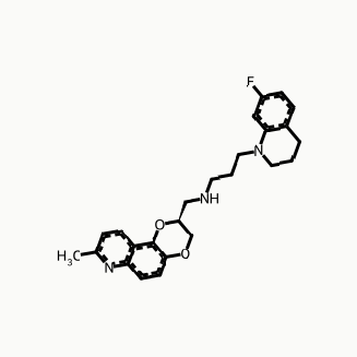 Cc1ccc2c3c(ccc2n1)OC[C@H](CNCCCN1CCCc2ccc(F)cc21)O3